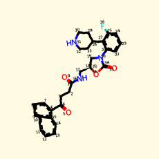 O=C(CCC(=O)c1cccc2ccccc12)NC[C@H]1CN(c2cccc(F)c2C2CCNCC2)C(=O)O1